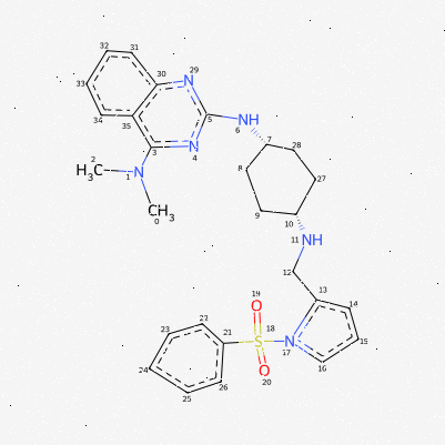 CN(C)c1nc(N[C@H]2CC[C@@H](NCc3cccn3S(=O)(=O)c3ccccc3)CC2)nc2ccccc12